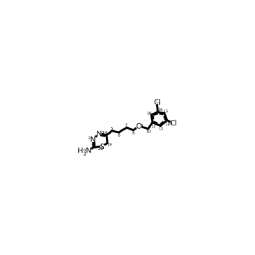 NC1=NN=C(CCCCOCc2cc(Cl)cc(Cl)c2)CS1